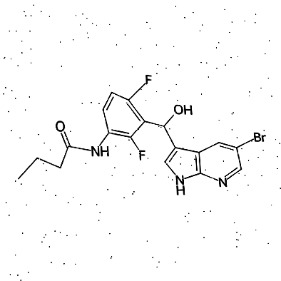 CCCC(=O)Nc1ccc(F)c(C(O)c2c[nH]c3ncc(Br)cc23)c1F